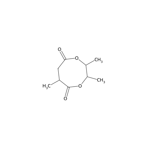 CC1CC(=O)OC(C)C(C)OC1=O